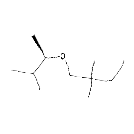 CCC(C)(C)CO[C@H](C)C(C)C